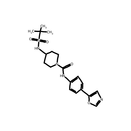 CC(C)(C)S(=O)(=O)NC1CCN(C(=O)Nc2ccc(-c3cnco3)cc2)CC1